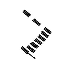 C#C.C#C.C#C.C#C.C#C.C#C.C#C.C#C.C#CC